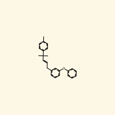 Cc1ccc(C(C)(C)C=CCc2cccc(Oc3ccccc3)c2)cc1